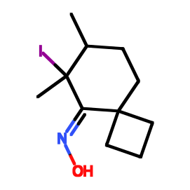 CC1CCC2(CCC2)/C(=N\O)C1(C)I